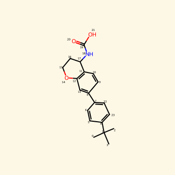 CC(C)(C)c1ccc(-c2ccc3c(c2)OCCC3NC(=O)O)cc1